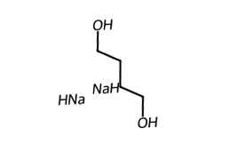 OCCCCO.[NaH].[NaH]